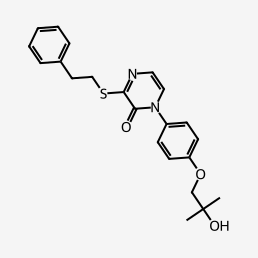 CC(C)(O)COc1ccc(-n2ccnc(SCCc3ccccc3)c2=O)cc1